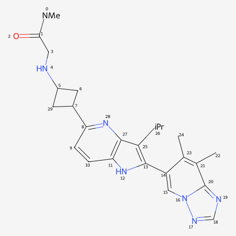 CNC(=O)CNC1CC(c2ccc3[nH]c(-c4cn5ncnc5c(C)c4C)c(C(C)C)c3n2)C1